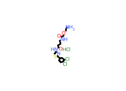 Cl.NCCOCC(=O)NCCCC(=O)Nc1csc(-c2ccc(Cl)c(Cl)c2)n1